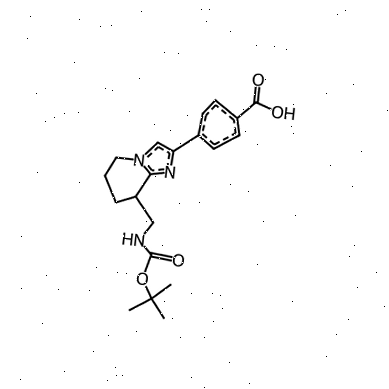 CC(C)(C)OC(=O)NCC1CCCn2cc(-c3ccc(C(=O)O)cc3)nc21